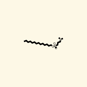 CCCCCCCCCCCCCCOS(=O)(=O)CCCN(C)C